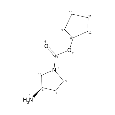 N[C@@H]1CCN(C(=O)OC2CCCC2)C1